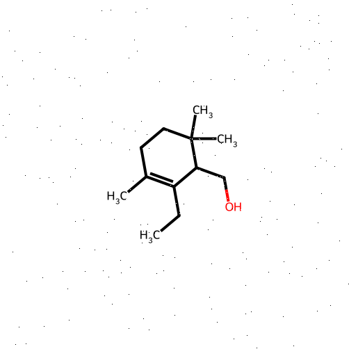 CCC1=C(C)CCC(C)(C)C1CO